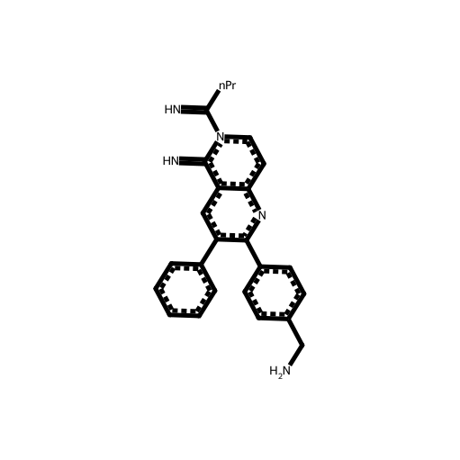 CCCC(=N)n1ccc2nc(-c3ccc(CN)cc3)c(-c3ccccc3)cc2c1=N